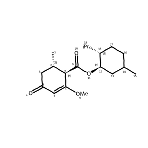 COC1=CC(=O)C[C@H](C)[C@H]1C(=O)O[C@@H]1CC(C)CC[C@H]1C(C)C